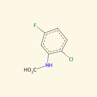 O=C(O)Nc1cc(F)ccc1Cl